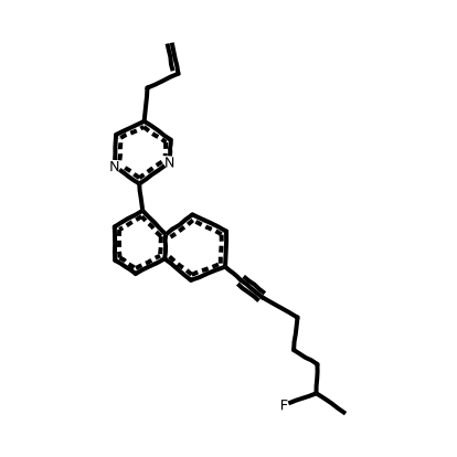 C=CCc1cnc(-c2cccc3cc(C#CCCCC(C)F)ccc23)nc1